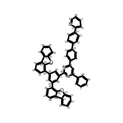 c1ccc(-c2cc(-c3ccc(-c4ccc(-c5ccccn5)cc4)cc3)nc(-c3cc(-c4cccc5c4oc4ccccc45)cc(-c4cccc5c4oc4ccccc45)c3)n2)cc1